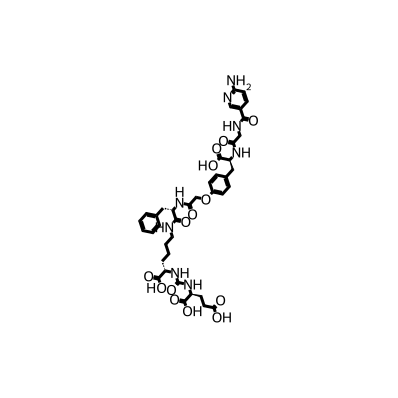 Nc1ccc(C(=O)NCC(=O)N[C@@H](Cc2ccc(OCC(=O)N[C@@H](Cc3ccccc3)C(=O)NCCCC[C@H](NC(=O)N[C@@H](CCC(=O)O)C(=O)O)C(=O)O)cc2)C(=O)O)cn1